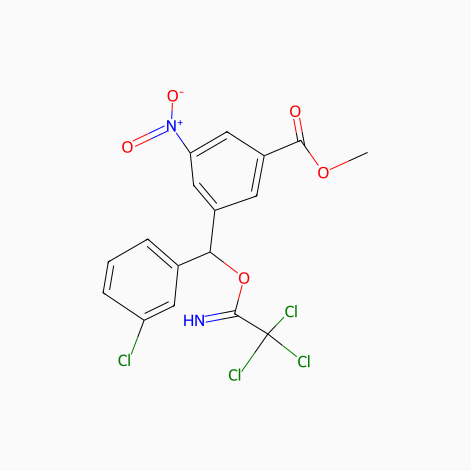 COC(=O)c1cc(C(OC(=N)C(Cl)(Cl)Cl)c2cccc(Cl)c2)cc([N+](=O)[O-])c1